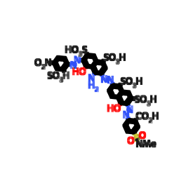 CNS(=O)(=O)c1ccc(N=Nc2c(S(=O)(=O)O)cc3c(S(=O)(=O)O)c(N=Nc4cc(S(=O)(=O)O)c5cc(S(=O)(=O)O)c(N=Nc6ccc([N+](=O)[O-])cc6S(=O)(=O)O)c(O)c5c4N)ccc3c2O)c(C(=O)O)c1